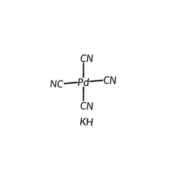 N#[C][Pd]([C]#N)([C]#N)[C]#N.[KH]